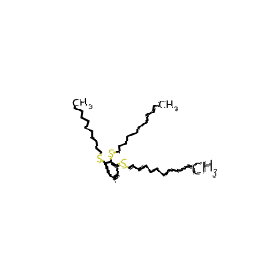 CCCCCCCCCCCSc1c[c]cc(SCCCCCCCCCCC)c1SCCCCCCCCCCC